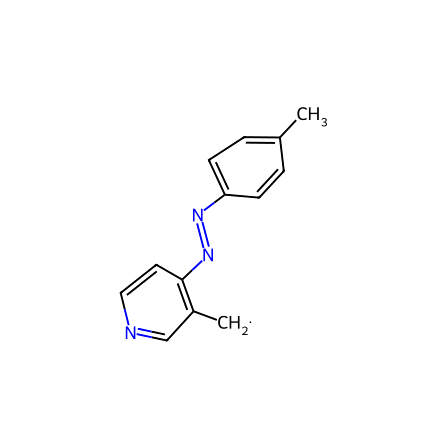 [CH2]c1cnccc1N=Nc1ccc(C)cc1